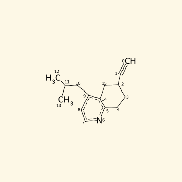 C#CC1CCc2nccc(CC(C)C)c2C1